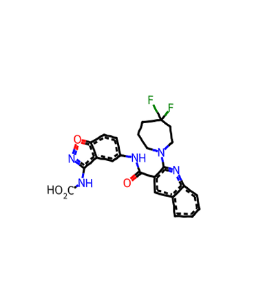 O=C(O)Nc1noc2ccc(NC(=O)c3cc4ccccc4nc3N3CCCC(F)(F)CC3)cc12